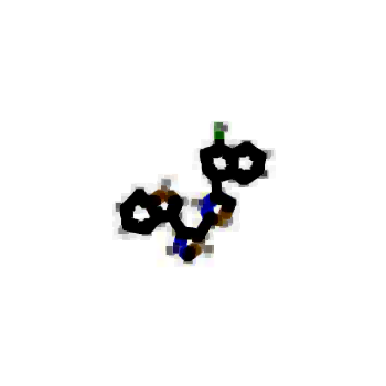 Fc1ccc(-c2csc(-c3s[c]nc3-c3csc4ccccc34)n2)c2ccccc12